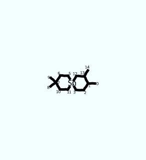 CC1C[CH2][Sn]2([CH2]CC(C)(C)C[CH2]2)[CH2]C1C